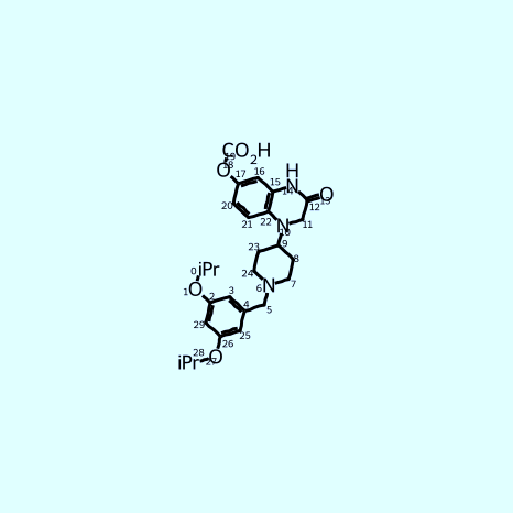 CC(C)Oc1cc(CN2CCC(N3CC(=O)Nc4cc(OC(=O)O)ccc43)CC2)cc(OC(C)C)c1